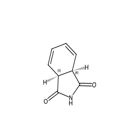 O=C1NC(=O)[C@@H]2C=CC=C[C@H]12